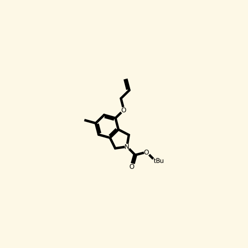 C=CCOc1cc(C)cc2c1CN(C(=O)OC(C)(C)C)C2